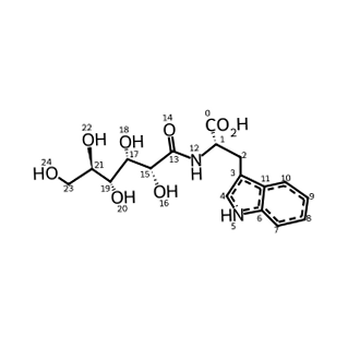 O=C(O)[C@H](Cc1c[nH]c2ccccc12)NC(=O)[C@H](O)[C@@H](O)[C@H](O)[C@H](O)CO